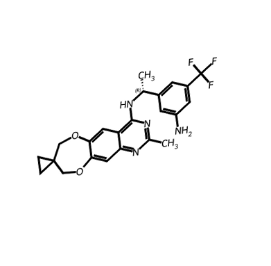 Cc1nc(N[C@H](C)c2cc(N)cc(C(F)(F)F)c2)c2cc3c(cc2n1)OCC1(CC1)CO3